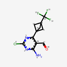 Nc1nc(Cl)nc(C23CC(C(F)(F)F)(C2)C3)c1C=O